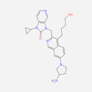 NC1CCN(c2ccc3c(CCCCO)c(Cn4c(=O)n(C5CC5)c5ccncc54)ncc3c2)C1